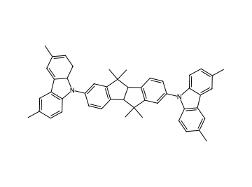 CC1=CCC2C(=C1)c1cc(C)ccc1N2c1ccc2c(c1)C(C)(C)C1c3ccc(-n4c5ccc(C)cc5c5cc(C)ccc54)cc3C(C)(C)C21